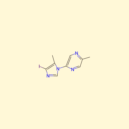 Cc1cnc(-n2cnc(I)c2C)cn1